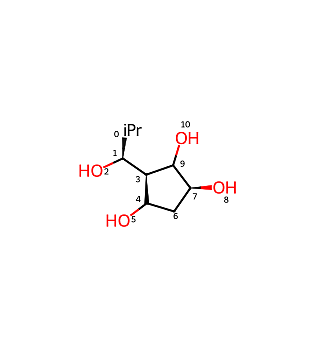 CC(C)[C@H](O)[C@@H]1C(O)C[C@H](O)C1O